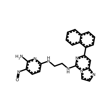 Nc1nc(NCCNc2nc(-c3cccc4ccccc34)cc3nccn23)ccc1N=O